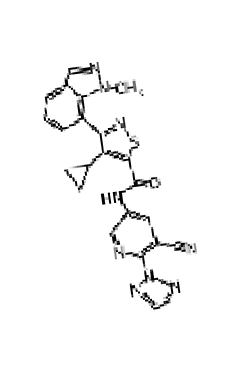 Cn1ncc2cccc(-c3nsc(C(=O)Nc4cnc(-n5nccn5)c(C#N)c4)c3C3CC3)c21